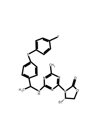 CC[C@H]1COC(=O)N1c1nc(C)nc(NC(C)c2ccc(Sc3ccc(F)cc3)cc2)n1